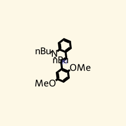 CCCCN(CCCC)c1ccccc1/C=C/c1cc(OC)ccc1OC